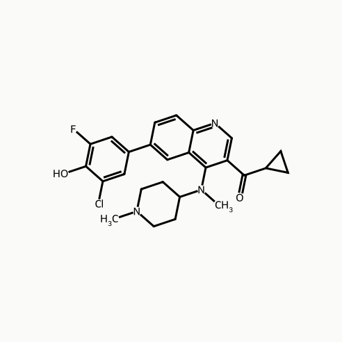 CN1CCC(N(C)c2c(C(=O)C3CC3)cnc3ccc(-c4cc(F)c(O)c(Cl)c4)cc23)CC1